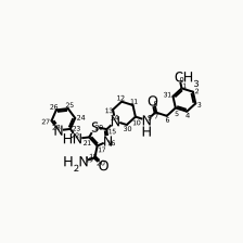 Cc1cccc(CC(=O)NC2CCCN(c3nc(C(N)=O)c(Nc4ccccn4)s3)C2)c1